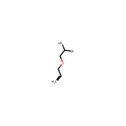 C=CCOC[CH]([Zr])CCC